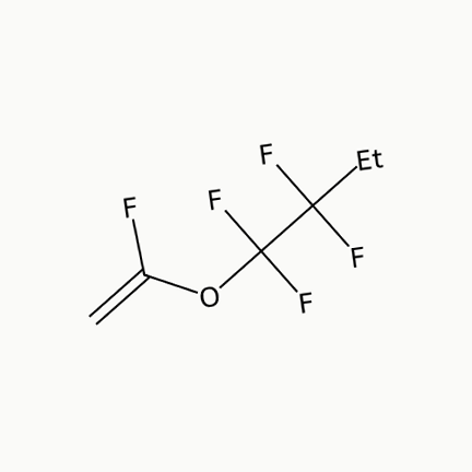 C=C(F)OC(F)(F)C(F)(F)CC